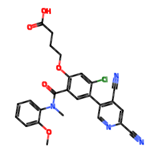 COc1ccccc1N(C)C(=O)c1cc(-c2cnc(C#N)cc2C#N)c(Cl)cc1OCCCC(=O)O